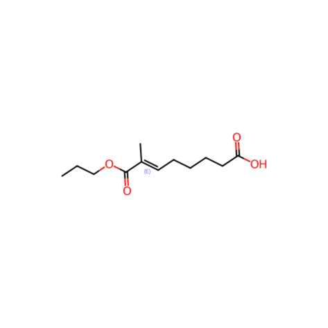 CCCOC(=O)/C(C)=C/CCCCC(=O)O